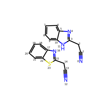 N#CCc1nc2ccccc2[nH]1.N#CCc1nc2ccccc2s1